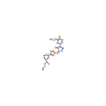 C=CCOC(=O)c1cccc(-c2ccc(/C=C3/C=NN(c4ccc(Cl)c(C(=O)O)c4)C3=O)o2)c1